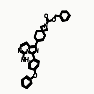 Nc1nccc2c(C3=CCC4(CC3)CN(C(=O)OCc3ccccc3)C4)nc(-c3ccc(Oc4ccccc4)cc3)n12